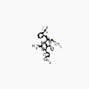 CCN1C(=O)c2c(nc(N)nc2-c2ccc(C)o2)/C1=C\c1ccccc1C(F)(F)F